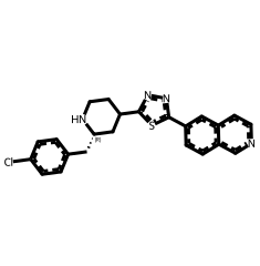 Clc1ccc(C[C@H]2CC(c3nnc(-c4ccc5cnccc5c4)s3)CCN2)cc1